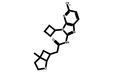 CC12CCOC1C(CC(=O)Nc1nc3ccc(C(F)(F)F)nc3n1C1CCC1)C2